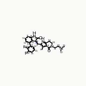 Cc1c(/C=C2\C(=O)Nc3cccc(-c4cccc(F)c4F)c32)[nH]c2c1C(=O)N(CCN(C)C)CC2